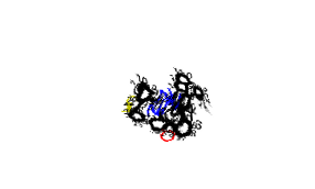 CC1(c2nc(-c3ccc4ccccc4c3)nc(-c3cccc4sc5ccccc5c34)n2)CC=Cc2oc3cccc(-c4cccc(-c5ccccc5)c4)c3c21